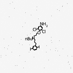 CCCCN(CCCOc1c(Cl)cc(N)cc1Cl)CCCc1cc(I)ccc1I